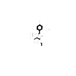 CCNC(=O)[C@H](NC(=O)c1ccc(I)cc1O)[C@H](C)O